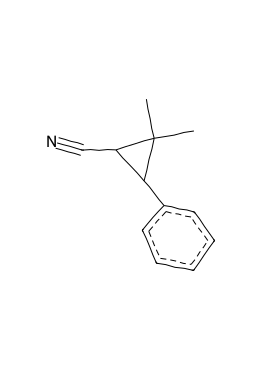 CC1(C)C(C#N)C1c1ccccc1